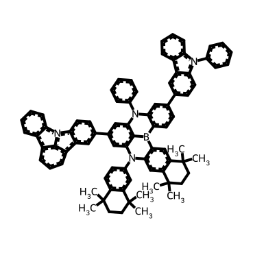 CC1(C)CCC(C)(C)c2cc(N3c4cc5c(cc4B4c6ccc(-c7ccc8c(c7)c7ccccc7n8-c7ccccc7)cc6N(c6ccccc6)c6cc(-c7ccc8c(c7)c7cccc9c%10ccccc%10n8c97)cc3c64)C(C)(C)CCC5(C)C)ccc21